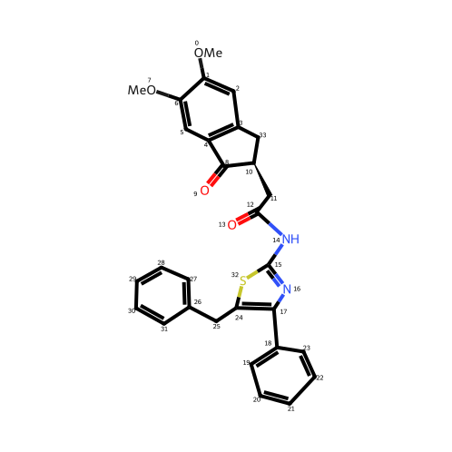 COc1cc2c(cc1OC)C(=O)[C@H](CC(=O)Nc1nc(-c3ccccc3)c(Cc3ccccc3)s1)C2